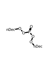 CCCCCCCCCCOO[P](=O)OOCCCCCCCCCC